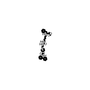 O=C(NCCCCCNC(Cc1ccccc1)C1=COCO1)NCCN1CCC(OC(=O)Nc2ccccc2-c2ccccc2)CC1